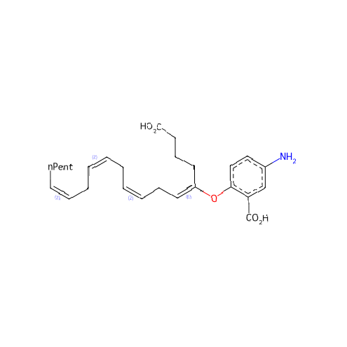 CCCCC/C=C\C/C=C\C/C=C\C/C=C(\CCCC(=O)O)Oc1ccc(N)cc1C(=O)O